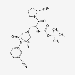 CC(C)(C)OC(=O)NC(CN1C[C@@H]2CC1C(=O)N2c1cccc(C#N)c1)C(=O)N1CCCC1C#N